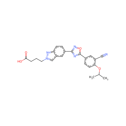 CC(C)Oc1ccc(-c2nc(-c3ccc4nn(CCCC(=O)O)cc4c3)no2)cc1C#N